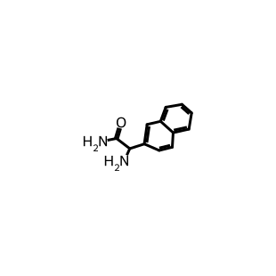 NC(=O)C(N)c1ccc2ccccc2c1